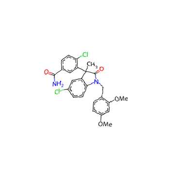 COc1ccc(CN2C(=O)C(C)(c3cc(C(N)=O)ccc3Cl)c3cc(Cl)ccc32)c(OC)c1